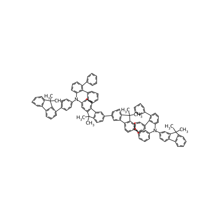 CC1(C)c2ccc(-c3ccc4c(c3)-c3ccc(N(c5ccc(-c6cccc7c6C(C)(C)c6ccccc6-7)cc5)c5cccc(-c6ccccc6)c5-c5ccccc5)cc3C4(C)C)cc2-c2ccc(-c3cccc(N(c4ccc5c(c4)C(C)(C)c4ccccc4-5)c4cccc(-c5ccccc5)c4-c4ccccc4)c3)cc21